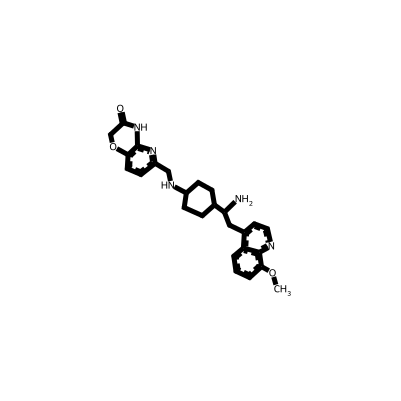 COc1cccc2c(CC(N)C3CCC(NCc4ccc5c(n4)NC(=O)CO5)CC3)ccnc12